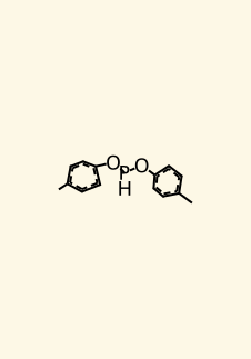 Cc1ccc(OPOc2ccc(C)cc2)cc1